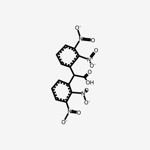 O=C(O)C(c1cccc([N+](=O)[O-])c1[N+](=O)[O-])c1cccc([N+](=O)[O-])c1[N+](=O)[O-]